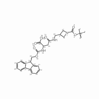 CC(C)(C)OC(=O)N1CC(CNC(=O)CC(NC(=O)OCC2c3ccccc3-c3ccccc32)C(=O)O)C1